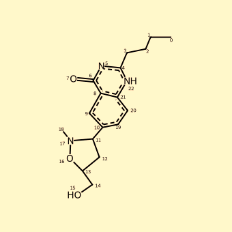 CCCCc1nc(=O)c2cc(C3CC(CO)ON3C)ccc2[nH]1